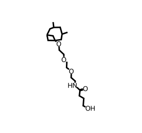 CC1CC(C)CC2(OCCOCCOCCNC(=O)CCCO)CC(C1)C2